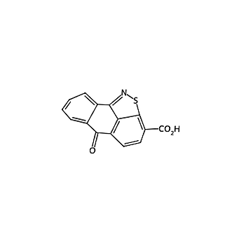 O=C(O)c1ccc2c3c(nsc13)-c1ccccc1C2=O